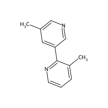 Cc1cn[c]c(-c2ncccc2C)c1